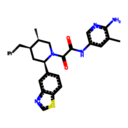 Cc1cc(NC(=O)C(=O)N2C[C@@H](C)[C@H](CC(C)C)C[C@@H]2c2ccc3scnc3c2)cnc1N